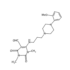 COc1ccccc1N1CCN(CCCNc2c(C=O)c(=O)n(C)c(=O)n2C)CC1